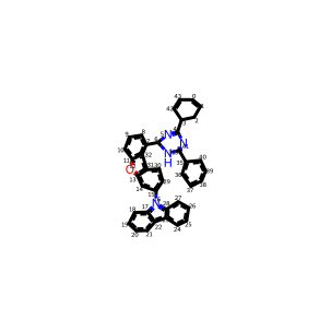 C1=CCC(C2=NC(c3cccc4oc5cc(-n6c7ccccc7c7ccccc76)ccc5c34)NC(c3ccccc3)=N2)C=C1